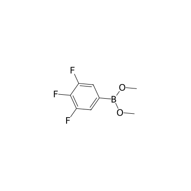 COB(OC)c1cc(F)c(F)c(F)c1